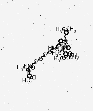 CC[C@H](C(=O)N1CCCC[C@H]1C(=O)O[C@@H](CCc1ccc(C)c(C)c1)c1cccc(OCC(=O)NCCOCCOCCOCCOCCC(=O)NC2=NN(c3ccc(C)c(Cl)c3)CC2C)c1)c1cc(OC)c(OC)c(OC)c1